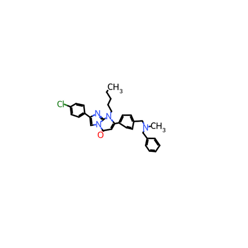 CCCCCn1c(-c2ccc(CN(C)Cc3ccccc3)cc2)cc(=O)n2cc(-c3ccc(Cl)cc3)nc12